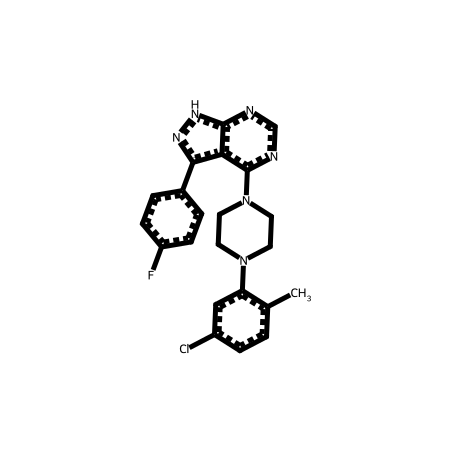 Cc1ccc(Cl)cc1N1CCN(c2ncnc3[nH]nc(-c4ccc(F)cc4)c23)CC1